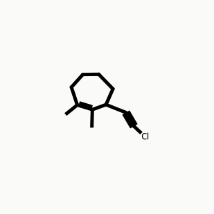 CC1=C(C)C(C#CCl)CCCC1